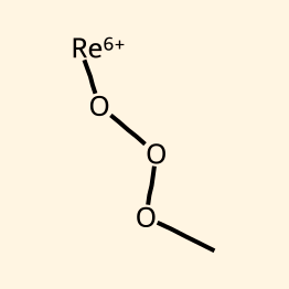 COO[O][Re+6]